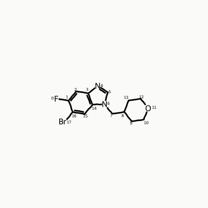 Fc1cc2ncn(CC3CCOCC3)c2cc1Br